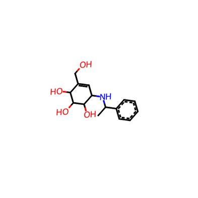 CC(NC1C=C(CO)C(O)C(O)C1O)c1ccccc1